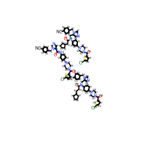 N#Cc1ccc(Cn2cncc2C(=O)Nc2ccc(N3CCN(C(=O)c4ccc(Cl)s4)CC3)cc2)cc1.N#Cc1ccc(Cn2cncc2CN(C(=O)CC2CCCC2)c2ccc(N3CCN(C(=O)c4ccc(Cl)s4)CC3)cc2)cc1.N#Cc1ccc(Cn2cncc2CN(C(=O)CCC2CCCC2)c2ccc(N3CCN(C(=O)c4ccc(Cl)s4)CC3)cc2)cc1